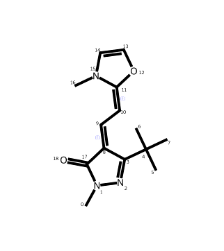 CN1N=C(C(C)(C)C)/C(=C\C=C2\OC=CN2C)C1=O